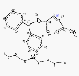 CCC[CH2][Sn][CH2]CCC.O=C(O)/C=C\C(=O)OC(c1ccccc1)c1ccccc1